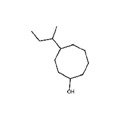 CCC(C)C1CCCCC(O)CC1